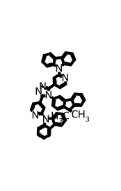 CC1(C)c2ccccc2-c2cc(-n3c(-c4ccnc(-n5c6ccccc6c6ccccc65)c4)nnc3-c3ccnc(-n4c5ccccc5c5ccccc54)c3)ccc21